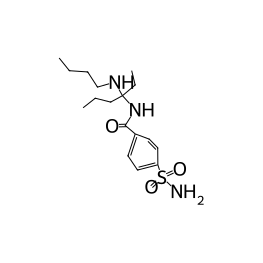 CCCCNC(CC)(CCC)NC(=O)c1ccc(S(N)(=O)=O)cc1